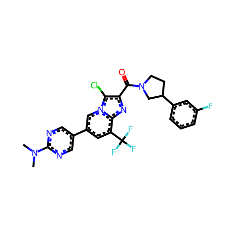 CN(C)c1ncc(-c2cc(C(F)(F)F)c3nc(C(=O)N4CCC(c5cccc(F)c5)C4)c(Cl)n3c2)cn1